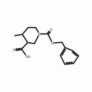 CC1CCN(C(=O)OCc2ccccc2)CC1C(=O)O